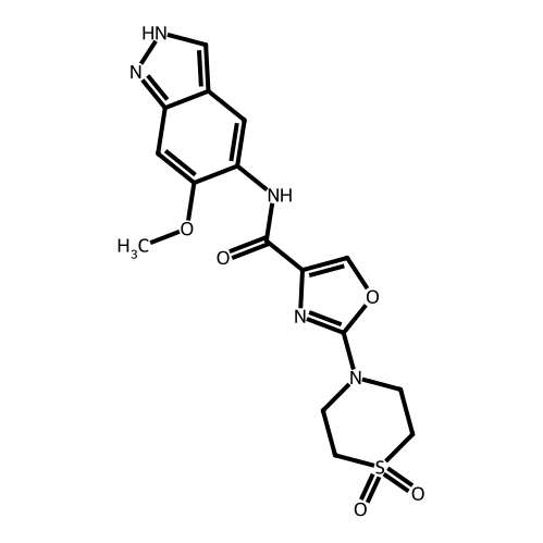 COc1cc2n[nH]cc2cc1NC(=O)c1coc(N2CCS(=O)(=O)CC2)n1